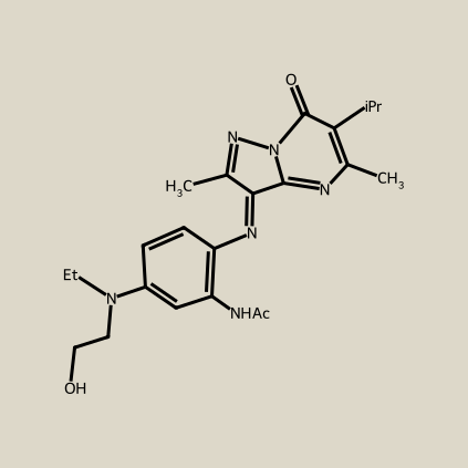 CCN(CCO)c1ccc(N=C2C(C)=Nn3c2nc(C)c(C(C)C)c3=O)c(NC(C)=O)c1